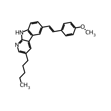 CCCCCc1cnc2[nH]c3ccc(C=Cc4ccc(OC)cc4)cc3c2c1